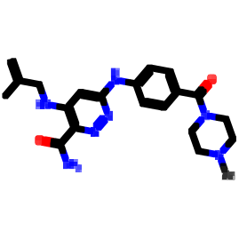 C=C(C)CNc1cc(Nc2ccc(C(=O)N3CCN(C(C)=O)CC3)cc2)nnc1C(N)=O